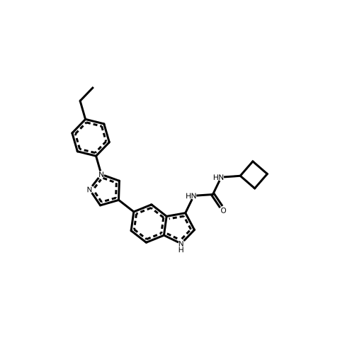 CCc1ccc(-n2cc(-c3ccc4[nH]cc(NC(=O)NC5CCC5)c4c3)cn2)cc1